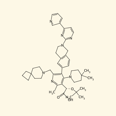 Cc1nc(CN2CCC3(CCC3)CC2)c(-c2ccc3c(c2)CCN(c2nccc(-c4cccnc4)n2)C3)c(N2CCC(C)(C)CC2)c1[C@H](OC(C)(C)C)C(=O)O